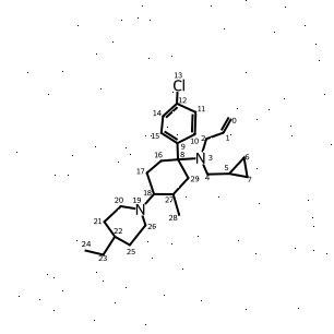 C=CCN(CC1CC1)C1(c2ccc(Cl)cc2)CCC(N2CCC(CC)CC2)C(C)C1